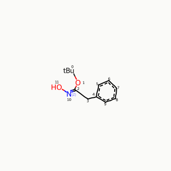 CC(C)(C)O/C(Cc1ccccc1)=N\O